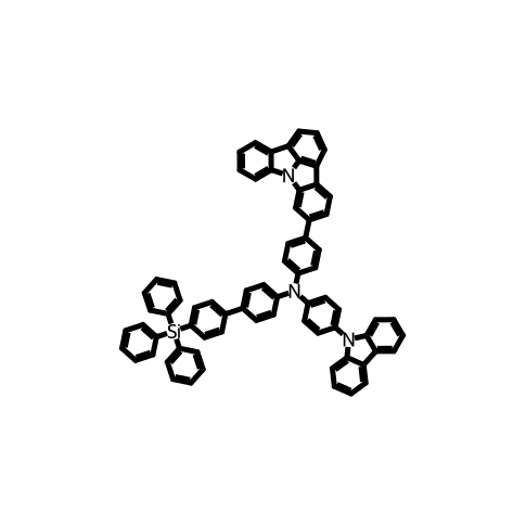 c1ccc([Si](c2ccccc2)(c2ccccc2)c2ccc(-c3ccc(N(c4ccc(-c5ccc6c7cccc8c9ccccc9n(c6c5)c87)cc4)c4ccc(-n5c6ccccc6c6ccccc65)cc4)cc3)cc2)cc1